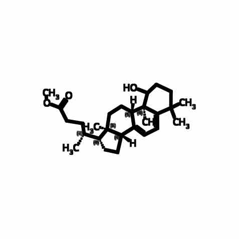 COC(=O)CC[C@@H](C)[C@H]1CC[C@H]2C3=CC=C4C(C)(C)CCC(O)[C@]4(C)[C@H]3CC[C@]12C